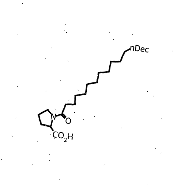 CCCCCCCCCCCCCCCCCCCCCC(=O)N1CCCC1C(=O)O